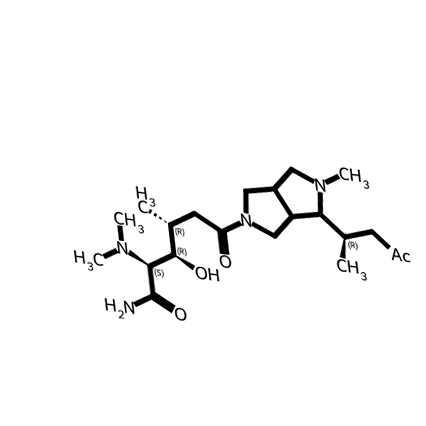 CC(=O)C[C@@H](C)C1C2CN(C(=O)C[C@@H](C)[C@@H](O)[C@@H](C(N)=O)N(C)C)CC2CN1C